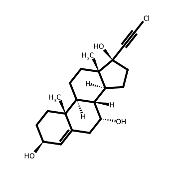 C[C@]12CC[C@H](O)C=C1C[C@@H](O)[C@@H]1[C@@H]2CC[C@@]2(C)[C@H]1CC[C@@]2(O)C#CCl